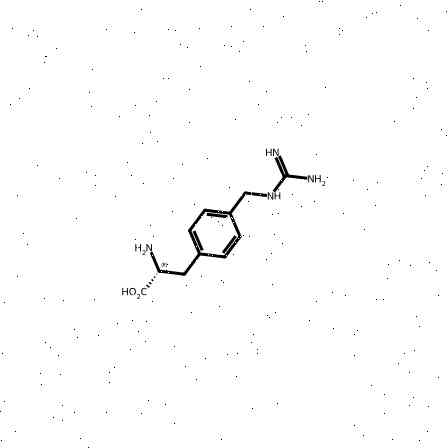 N=C(N)NCc1ccc(C[C@@H](N)C(=O)O)cc1